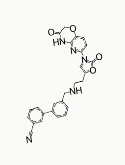 N#Cc1cccc(-c2cccc(CNCCc3cn(-c4ccc5c(n4)NC(=O)CO5)c(=O)o3)c2)c1